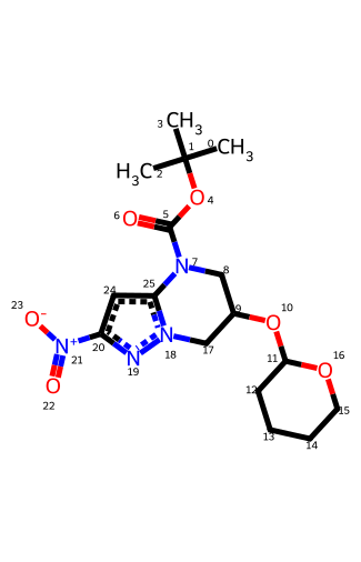 CC(C)(C)OC(=O)N1CC(OC2CCCCO2)Cn2nc([N+](=O)[O-])cc21